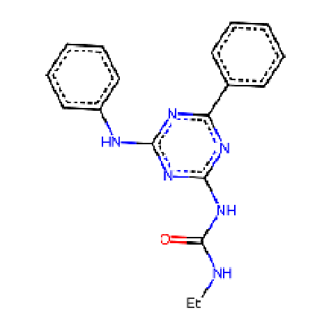 CCNC(=O)Nc1nc(Nc2ccccc2)nc(-c2ccccc2)n1